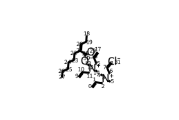 C=CC[N+](C)(C)CC=C.C=CC[N+](C)(C)CC=C.CCC=C(CCCCCC)C(=O)[O-].[Cl-]